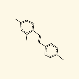 Cc1ccc(N=Nc2ccc(C)cc2C)cc1